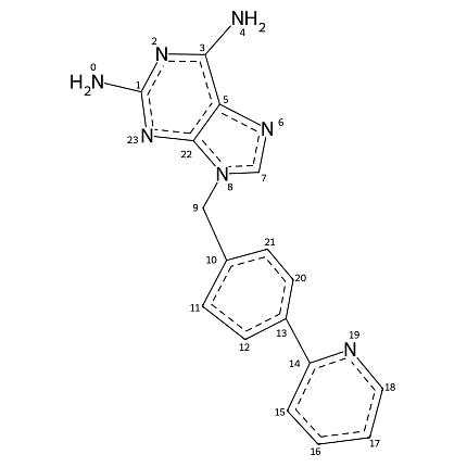 Nc1nc(N)c2ncn(Cc3ccc(-c4ccccn4)cc3)c2n1